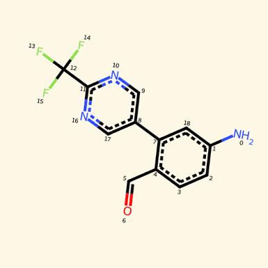 Nc1ccc(C=O)c(-c2cnc(C(F)(F)F)nc2)c1